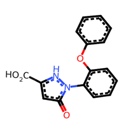 O=C(O)c1cc(=O)n(-c2ccccc2Oc2ccccc2)[nH]1